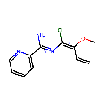 C=C/C(OC)=C(Cl)\N=C(/N)c1ccccn1